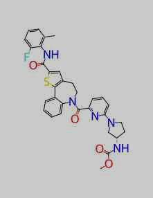 COC(=O)N[C@H]1CCN(c2cccc(C(=O)N3CCc4cc(C(=O)Nc5c(C)cccc5F)sc4-c4ccccc43)n2)C1